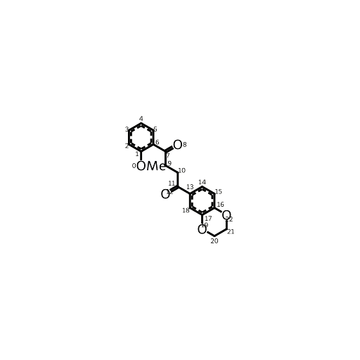 COc1ccccc1C(=O)CCC(=O)c1ccc2c(c1)OCCO2